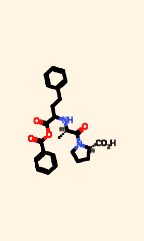 C[C@H](NC(CCc1ccccc1)C(=O)OC(=O)c1ccccc1)C(=O)N1CCC[C@H]1C(=O)O